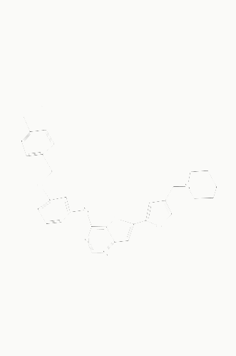 COc1ccc(COc2cccc(Nc3ncnc4cc(-c5cc(CN6CCCCC6)co5)sc34)c2)cc1